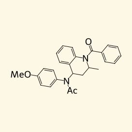 COc1ccc(N(C(C)=O)C2CC(C)N(C(=O)c3ccccc3)c3ccccc32)cc1